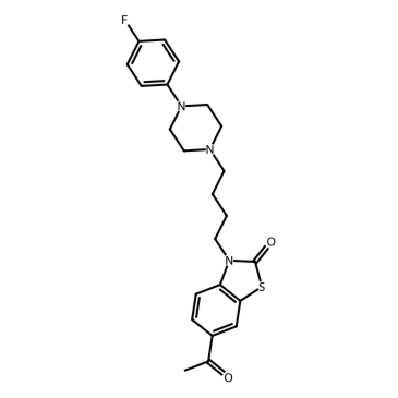 CC(=O)c1ccc2c(c1)sc(=O)n2CCCCN1CCN(c2ccc(F)cc2)CC1